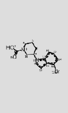 O=C(O)N1CCCC(n2ccc3c(Br)cccc32)C1